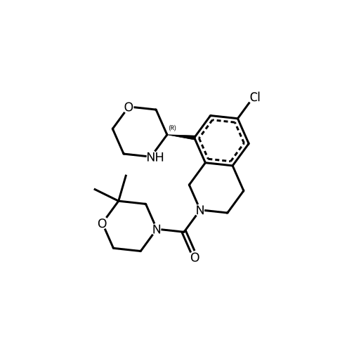 CC1(C)CN(C(=O)N2CCc3cc(Cl)cc([C@@H]4COCCN4)c3C2)CCO1